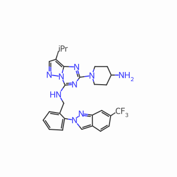 CC(C)c1cnn2c(NCc3ccccc3-n3cc4ccc(C(F)(F)F)cc4n3)nc(N3CCC(N)CC3)nc12